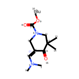 CN(C)/C=C1/CN(C(=O)OC(C)(C)C)CC(C)(C)C1=O